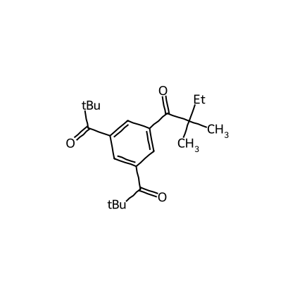 CCC(C)(C)C(=O)c1cc(C(=O)C(C)(C)C)cc(C(=O)C(C)(C)C)c1